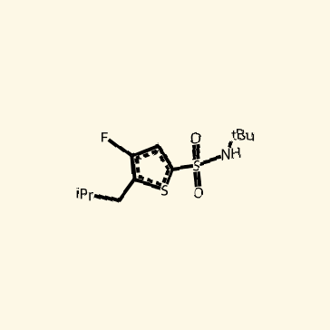 CC(C)Cc1sc(S(=O)(=O)NC(C)(C)C)cc1F